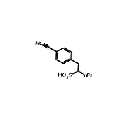 C#Cc1ccc(CC(CCC)S(=O)(=O)O)cc1